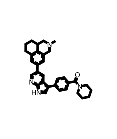 CN1Cc2cc(-c3cnc4[nH]cc(-c5ccc(C(=O)N6CCCCC6)cc5)c4c3)cc3c2C(CCC3)C1